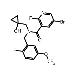 O=C(c1cc(Br)cnc1F)N(Cc1cc(OC(F)(F)F)ccc1F)CC1(O)CC1